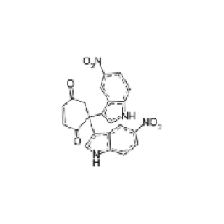 O=C1C=CC(=O)C(c2c[nH]c3ccc([N+](=O)[O-])cc23)(c2c[nH]c3ccc([N+](=O)[O-])cc23)C1